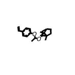 C=Cc1ccc(OC(C)OC2CC3CCC2(C)C3(C)C)cc1